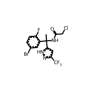 CC(NC(=O)CCl)(c1cc(C(F)(F)F)n[nH]1)c1cc(Br)ccc1F